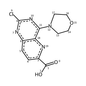 O=C(O)c1ccc2nc(Cl)nc(N3CCOCC3)c2n1